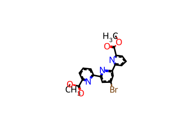 COC(=O)c1cccc(-c2cc(Br)cc(-c3cccc(C(=O)OC)n3)n2)n1